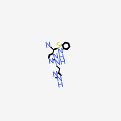 N#C/C(=C1/Nc2ccccc2S1)c1ccnc(NCCc2c[nH]cn2)n1